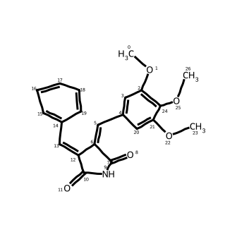 COc1cc(C=C2C(=O)NC(=O)/C2=C/c2ccccc2)cc(OC)c1OC